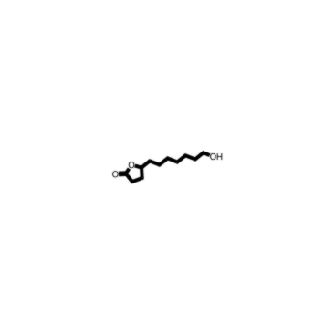 O=C1CCC(CCCCCCCO)O1